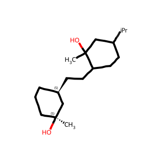 CC(C)C1CCC(CC[C@@H]2CCC[C@](C)(O)C2)C(C)(O)C1